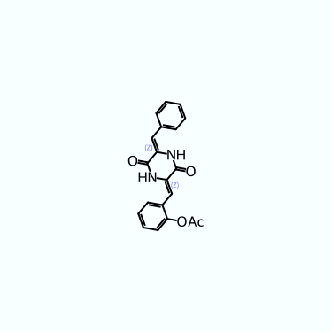 CC(=O)Oc1ccccc1/C=c1\[nH]c(=O)/c(=C/c2ccccc2)[nH]c1=O